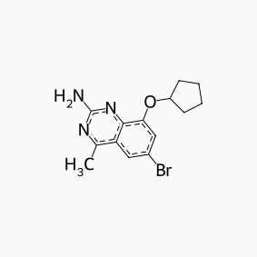 Cc1nc(N)nc2c(OC3CCCC3)cc(Br)cc12